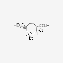 CCC1(C)C[C@](C)(CC)C[C@@H](C(=O)O)CCC1C(=O)O